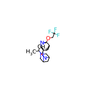 CC(C)N1CC2CC(C1)N2Cc1ccc(OCC(F)(F)F)nc1